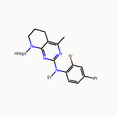 CCCCCCCN1CCCc2c(C)nc(N(CC)c3ccc(C(C)C)cc3Br)nc21